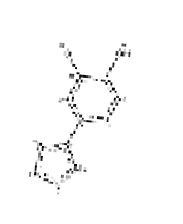 Oc1ccc(-c2nn[c]o2)cc1O